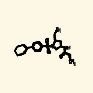 C=CC(=O)NC1CC(CO)N(S(=O)(=O)c2ccc(C3CCCCC3)cc2)C1